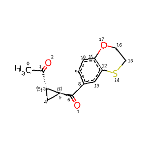 CC(=O)[C@H]1C[C@@H]1C(=O)c1ccc2c(c1)SCCO2